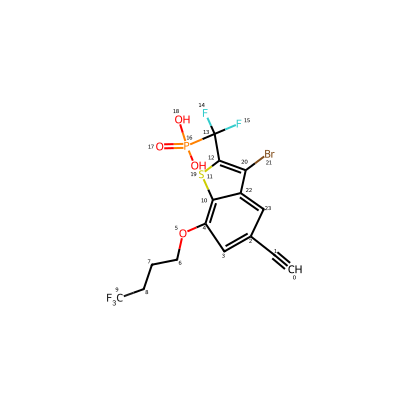 C#Cc1cc(OCCCC(F)(F)F)c2sc(C(F)(F)P(=O)(O)O)c(Br)c2c1